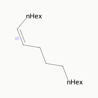 [CH2]CCCCCCCC/C=C\CCCCCC